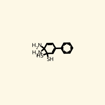 NC1(N)C=CC(c2ccccc2)=CC1(S)S